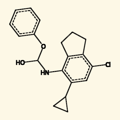 OC(Nc1c(C2CC2)cc(Cl)c2c1CCC2)Oc1ccccc1